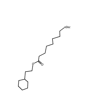 CCCCCCCCCCCCCCCCCC(=O)OCCC1CCCCC1